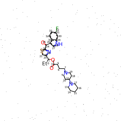 CCC(OC(=O)CCCN1CCC(N2CCCCC2)CC1)c1csc(C(=O)c2c[nH]c3cc(F)ccc23)n1